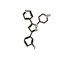 Fc1cccc(-c2cc(-c3ccncc3)n(C3CCNCC3)n2)c1